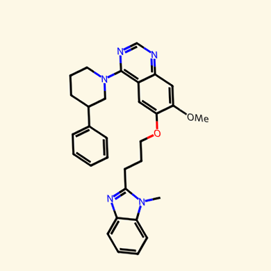 COc1cc2ncnc(N3CCCC(c4ccccc4)C3)c2cc1OCCCc1nc2ccccc2n1C